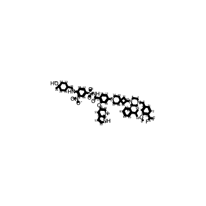 COc1cc(CN2CCN(C3CC4(CCN(c5ccc(C(=O)NS(=O)(=O)c6ccc(NCC7CCC(C)(O)CC7)c([N+](=O)[O-])c6)c(Oc6cnc7[nH]ccc7c6)c5)CC4)C3)[C@H](c3ccccc3C(C)C)C2)ccc1C(F)F